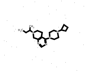 CCC(C)N1CCc2c(ncnc2N2CCN(C3CCC3)CC2)C1